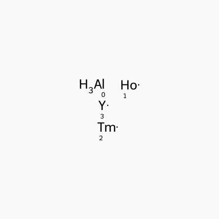 [AlH3].[Ho].[Tm].[Y]